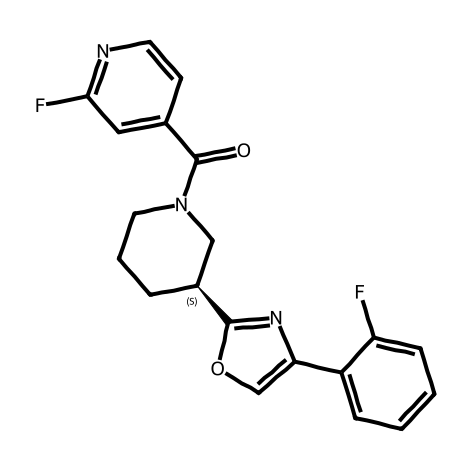 O=C(c1ccnc(F)c1)N1CCC[C@H](c2nc(-c3ccccc3F)co2)C1